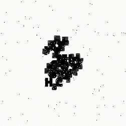 Cc1cn(Cc2ccccc2)c(OC(=O)NCc2cc(F)ccc2F)c1-c1ccco1